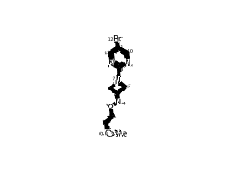 COCCON=C1CN(c2ncc(Br)cn2)C1